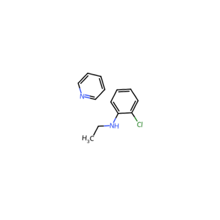 CCNc1ccccc1Cl.c1ccncc1